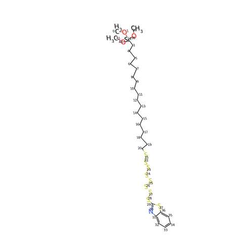 CO[Si](CCCCCCCCCCCCCCCCCCSSSSSSSSc1nc2ccccc2s1)(OC)OC